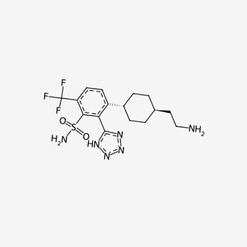 NCC[C@H]1CC[C@H](c2ccc(C(F)(F)F)c(S(N)(=O)=O)c2-c2nnn[nH]2)CC1